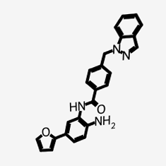 Nc1ccc(-c2ccco2)cc1NC(=O)c1ccc(Cn2ncc3ccccc32)cc1